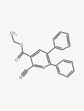 CCOC(=O)c1cc(-c2ccccc2)c(-c2ccccc2)nc1C#N